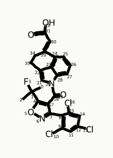 CC(C)(F)c1onc(-c2c(Cl)cc(Cl)cc2Cl)c1C(=O)n1cc2c3c(cccc31)/C(=C/C(=O)O)CC2